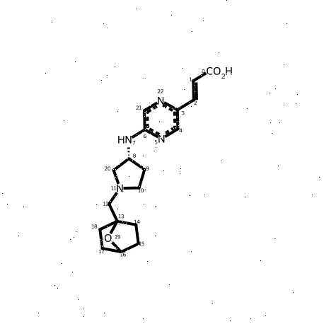 O=C(O)/C=C/c1cnc(N[C@@H]2CCN(CC34CCC(CC3)O4)C2)cn1